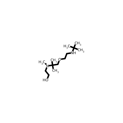 CN(CCO)C(C)(C)COCCNC(C)(C)C